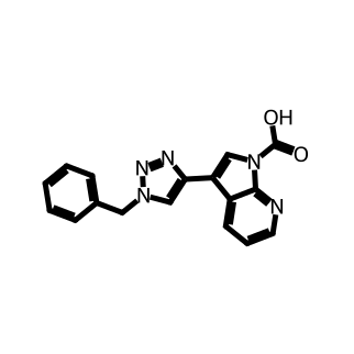 O=C(O)n1cc(-c2cn(Cc3ccccc3)nn2)c2cccnc21